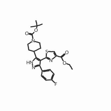 CCOC(=O)c1csc(-c2c(-c3ccc(F)cc3)n[nH]c2C2CCN(C(=O)OC(C)(C)C)CC2)n1